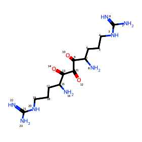 N=C(N)NCCCC(N)C(=O)C(=O)C(=O)C(N)CCCNC(=N)N